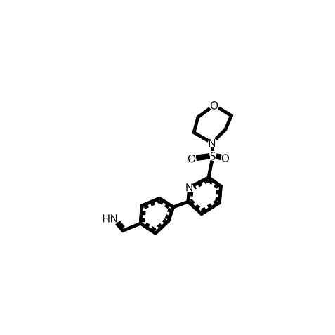 N=Cc1ccc(-c2cccc(S(=O)(=O)N3CCOCC3)n2)cc1